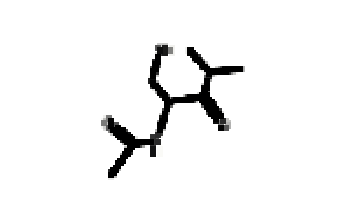 CC(=O)NC(CS)C(=O)C(C)C